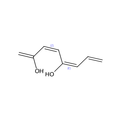 C=C/C=C(O)\C=C/C(=C)O